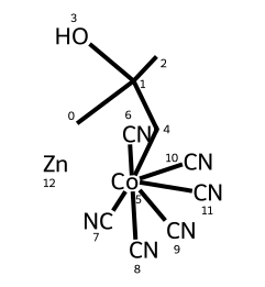 CC(C)(O)[CH2][Co]([C]#N)([C]#N)([C]#N)([C]#N)([C]#N)[C]#N.[Zn]